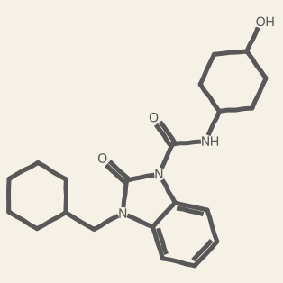 O=C(NC1CCC(O)CC1)n1c(=O)n(CC2CCCCC2)c2ccccc21